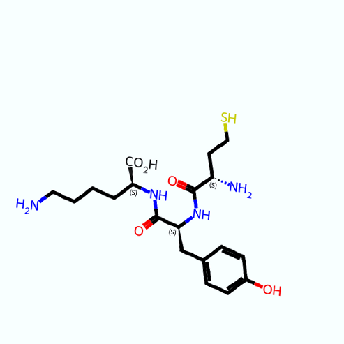 NCCCC[C@H](NC(=O)[C@H](Cc1ccc(O)cc1)NC(=O)[C@@H](N)CCS)C(=O)O